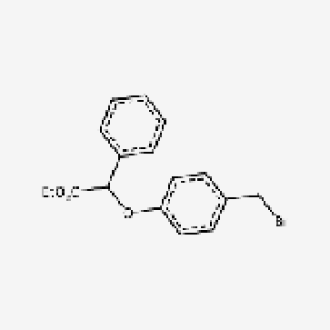 CCOC(=O)C(Oc1ccc(CBr)cc1)c1ccccc1